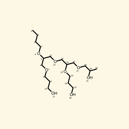 CCCCOC(COCCCO)COCC(COCC(C)O)OCCCO